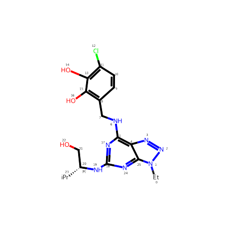 CCn1nnc2c(NCc3ccc(Cl)c(O)c3O)nc(N[C@@H](CO)C(C)C)nc21